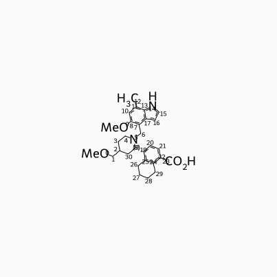 COCC1CCN(Cc2c(OC)cc(C)c3[nH]ccc23)[C@H](c2ccc(C(=O)O)c3c2CCCC3)C1